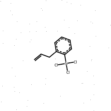 C=CCc1ccccc1[Si](Cl)(Cl)Cl